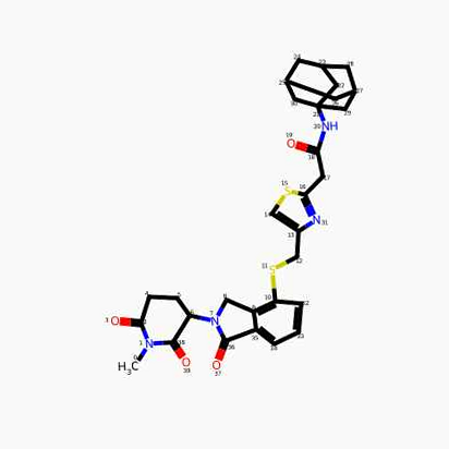 CN1C(=O)CCC(N2Cc3c(SCc4csc(CC(=O)NC56CC7CC(CC(C7)C5)C6)n4)cccc3C2=O)C1=O